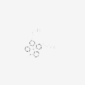 O=C1c2ccccc2C(c2ccc(SCCO)cc2)(c2ccc(SCCO)cc2)c2ccccc21